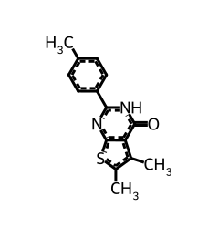 Cc1ccc(-c2nc3sc(C)c(C)c3c(=O)[nH]2)cc1